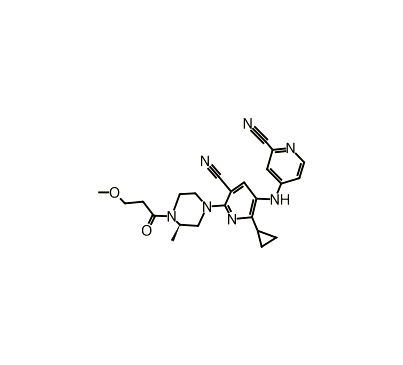 COCCC(=O)N1CCN(c2nc(C3CC3)c(Nc3ccnc(C#N)c3)cc2C#N)C[C@H]1C